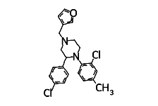 Cc1ccc(N2CCN(Cc3ccoc3)CC2c2ccc(Cl)cc2)c(Cl)c1